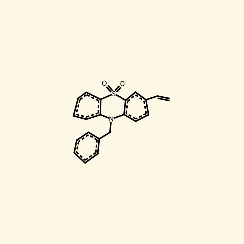 C=Cc1ccc2c(c1)S(=O)(=O)c1ccccc1N2Cc1ccccc1